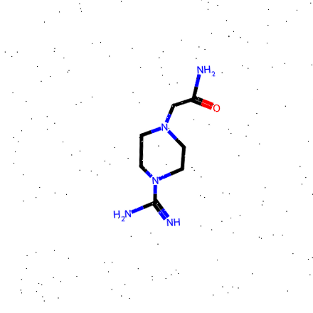 N=C(N)N1CCN(CC(N)=O)CC1